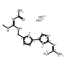 CN/C(=N/C(N)=O)NCc1ccc(-c2csc(N=C(N)N)n2)o1.Cl.Cl